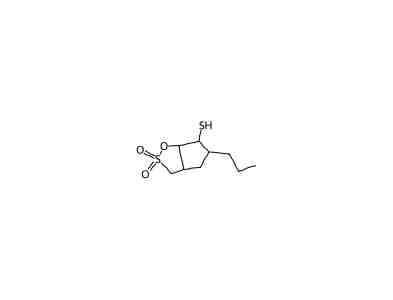 CCCC1CC2CS(=O)(=O)OC2C1S